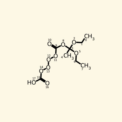 CCOC(C)(OCC)OC(=O)OOOOC(=O)O